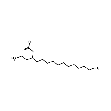 CCCCCCCCCCCCC(CCC)CC(=O)O